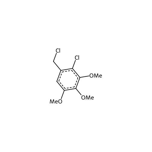 COc1cc(CCl)c(Cl)c(OC)c1OC